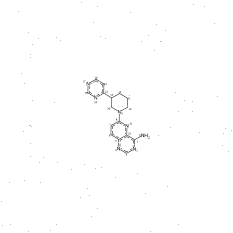 Nc1ncnc2ccc(N3CCCC(c4ccncn4)C3)nc12